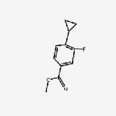 COC(=O)c1ccc(C2CC2)c(F)c1